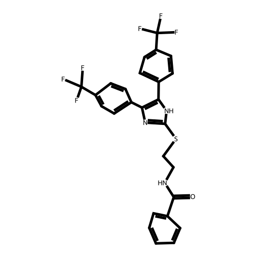 O=C(NCCSc1nc(-c2ccc(C(F)(F)F)cc2)c(-c2ccc(C(F)(F)F)cc2)[nH]1)c1ccccc1